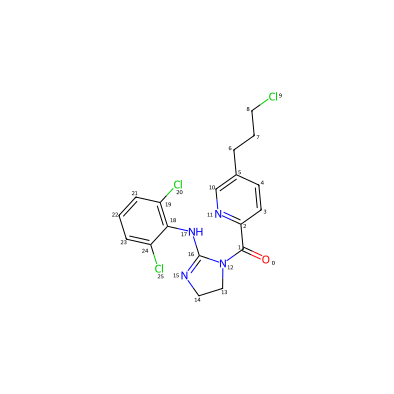 O=C(c1ccc(CCCCl)cn1)N1CCN=C1Nc1c(Cl)cccc1Cl